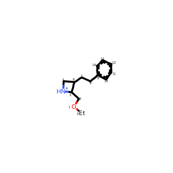 CCOCC1NCC1CCc1ccccc1